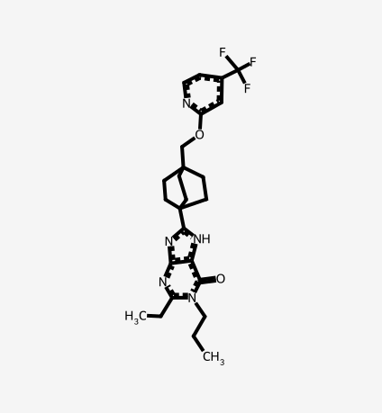 CCCn1c(CC)nc2nc(C34CCC(COc5cc(C(F)(F)F)ccn5)(CC3)CC4)[nH]c2c1=O